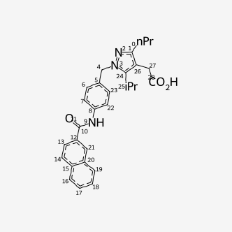 CCCc1nn(Cc2ccc(NC(=O)c3ccc4ccccc4c3)cc2)c(C(C)C)c1CC(=O)O